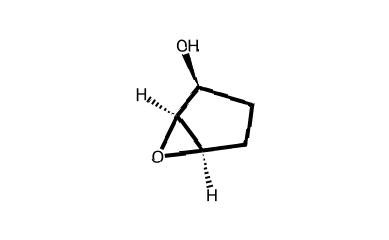 O[C@H]1CC[C@H]2O[C@@H]12